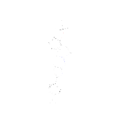 Cc1sc(-c2ccc(C(F)(F)F)cc2)nc1CN1CCc2c(cccc2OC(C)(C)C(=O)O)C1